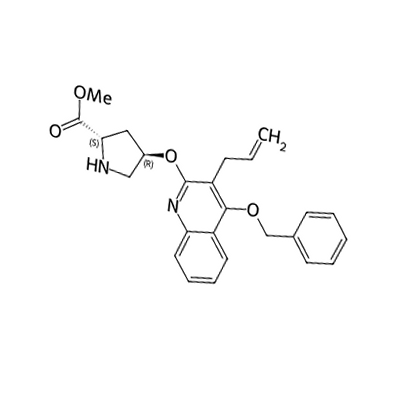 C=CCc1c(O[C@H]2CN[C@H](C(=O)OC)C2)nc2ccccc2c1OCc1ccccc1